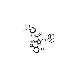 O=C(O)c1cccc(NC(=O)c2c(COC34CC5CC(CC(C5)C3)C4)nc(-c3c(Cl)cccc3Cl)n2O)c1